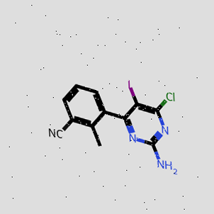 Cc1c(C#N)cccc1-c1nc(N)nc(Cl)c1I